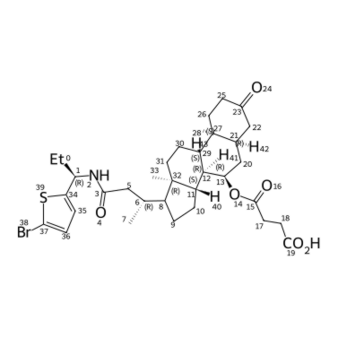 CC[C@@H](NC(=O)C[C@@H](C)C1CC[C@H]2[C@@H]3[C@H](OC(=O)CCC(=O)O)C[C@@H]4CC(=O)CC[C@]4(C)[C@H]3CC[C@]12C)c1ccc(Br)s1